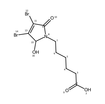 O=C(O)CCCCCN1C(=O)C(Br)=C(Br)C1O